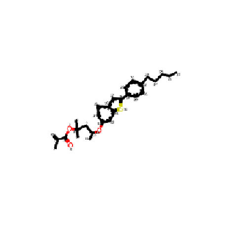 C=C(C)C(=O)OC(C)(C)CC(C)Oc1ccc2cc(-c3ccc(CCCCC)cc3)sc2c1